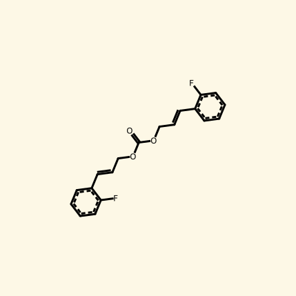 O=C(OCC=Cc1ccccc1F)OCC=Cc1ccccc1F